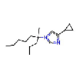 CCCCCC(C)(CCC)n1cnc(C2CC2)c1